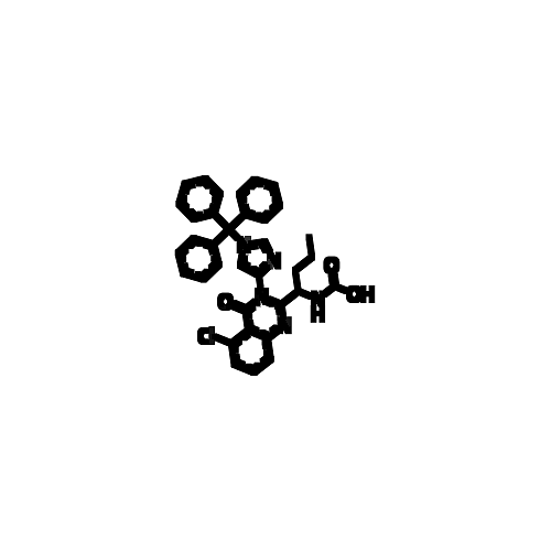 CCCC(NC(=O)O)c1nc2cccc(Cl)c2c(=O)n1-c1cn(C(c2ccccc2)(c2ccccc2)c2ccccc2)cn1